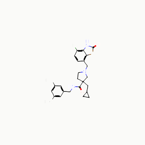 O=C(NCc1cc(C(F)(F)F)cc(C(F)(F)F)c1)C1(CC2CC2)CCN(Cc2ccc(F)c3[nH]c(=O)sc23)C1